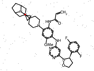 C=CC(=O)Nc1cc(Nc2cc(N3OCC[C@@H]3c3cc(F)ccc3F)ncn2)c(OC)cc1N1CCC(N2CC3CCC(C2)N3C2CC2)CC1